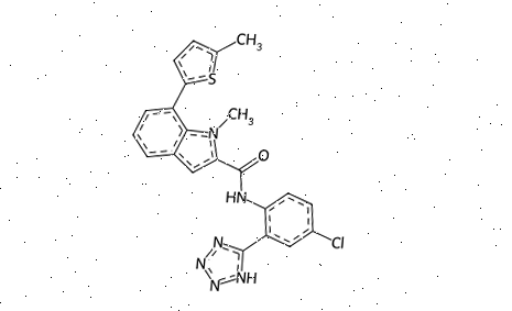 Cc1ccc(-c2cccc3cc(C(=O)Nc4ccc(Cl)cc4-c4nnn[nH]4)n(C)c23)s1